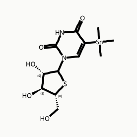 [CH3][Sn]([CH3])([CH3])[c]1cn(C2S[C@H](CO)[C@@H](O)[C@@H]2O)c(=O)[nH]c1=O